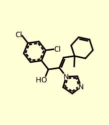 CC1(/C=C(/C(O)c2ccc(Cl)cc2Cl)n2ccnc2)CC=CCC1